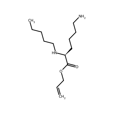 C=CCOC(=O)[C@H](CCCCN)NCCCCC